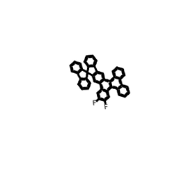 Fc1cc2c3cc4c(cc3c3c5ccccc5c5ccccc5c3c2cc1F)-c1ccccc1C41c2ccccc2-c2ccccc21